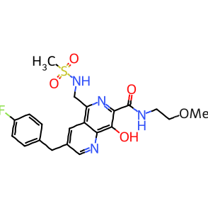 COCCNC(=O)c1nc(CNS(C)(=O)=O)c2cc(Cc3ccc(F)cc3)cnc2c1O